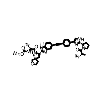 COC(=O)N[C@H](C(=O)N1C[C@@]2(CCOC2)C[C@H]1c1nc2cc(C#Cc3ccc(-c4c[nH]c([C@@H]5CCCN5C(=O)[C@@H](C)C(C)C)n4)cc3)ccc2[nH]1)C(C)C